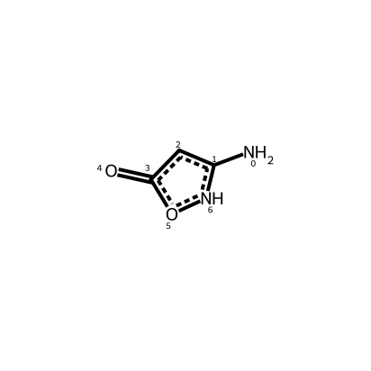 Nc1cc(=O)o[nH]1